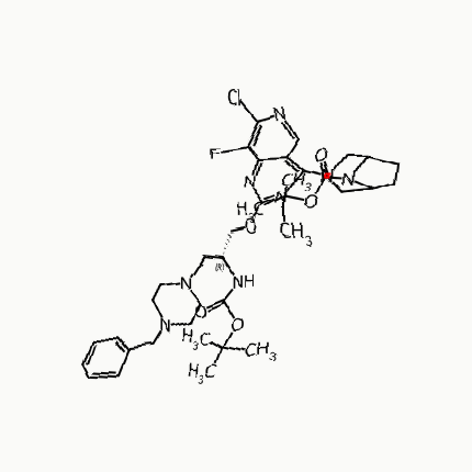 CC(C)(C)OC(=O)N[C@@H](COc1nc(N2CC3CCC(C2)N3C(=O)OC(C)(C)C)c2cnc(Cl)c(F)c2n1)CN1CCN(Cc2ccccc2)CC1